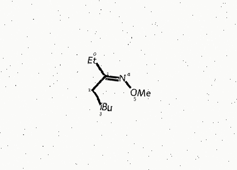 CCC(CC(C)CC)=NOC